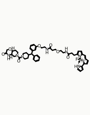 O=C(CCOCCNC(=O)CCc1ccc2n1[B-](F)(F)[N+]1=C(c3ccc[nH]3)C=CC1=C2)NCCOc1cccc(C(c2ccccc2)C2CCN(C(=O)N3CC[C@@H]4OCC(=O)N[C@@H]4C3)CC2)c1